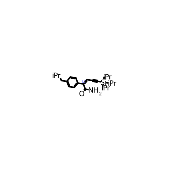 CC(C)Cc1ccc(/C(=C/C#C[Si](C(C)C)(C(C)C)C(C)C)C(N)=O)cc1